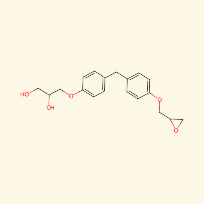 OCC(O)COc1ccc(Cc2ccc(OCC3CO3)cc2)cc1